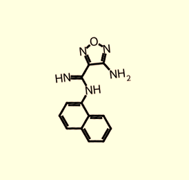 N=C(Nc1cccc2ccccc12)c1nonc1N